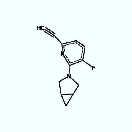 C#Cc1ccc(F)c(N2CC3CC3C2)n1